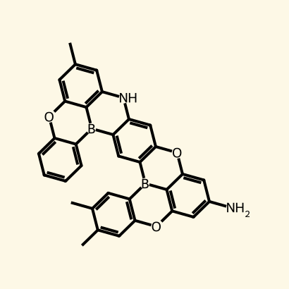 Cc1cc2c3c(c1)Oc1ccccc1B3c1cc3c(cc1N2)Oc1cc(N)cc2c1B3c1cc(C)c(C)cc1O2